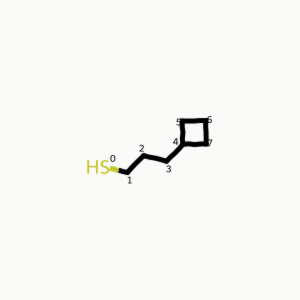 SCCCC1CCC1